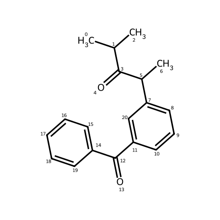 CC(C)C(=O)C(C)c1cccc(C(=O)c2ccccc2)c1